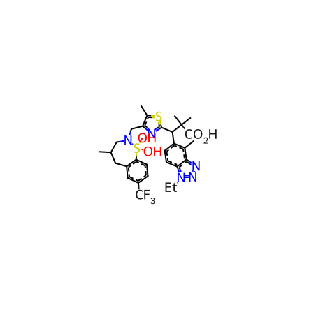 CCn1nnc2c(C)c(C(c3nc(CN4CC(C)Cc5cc(C(F)(F)F)ccc5S4(O)O)c(C)s3)C(C)(C)C(=O)O)ccc21